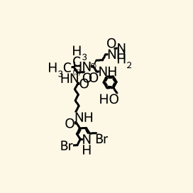 CC(C)[C@H](NC(=O)CCCCCNC(=O)C1=CC(CBr)NC(CBr)=C1)C(=O)N[C@@H](CCCNC(N)=O)C(=O)Nc1ccc(CO)cc1